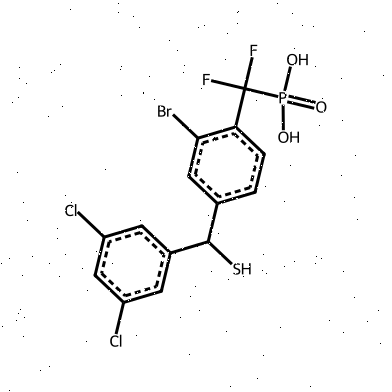 O=P(O)(O)C(F)(F)c1ccc(C(S)c2cc(Cl)cc(Cl)c2)cc1Br